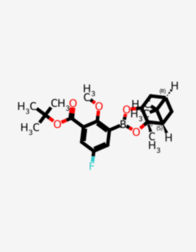 COc1c(B2OC3C[C@H]4C[C@@H](C4(C)C)[C@]3(C)O2)cc(F)cc1C(=O)OC(C)(C)C